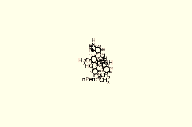 CCCCCC(C)(C)c1ccc(O)c(C(c2cc(C)cc(-c3c(Cl)ccc4[nH]nnc34)c2O)N2NNc3ccccc32)c1